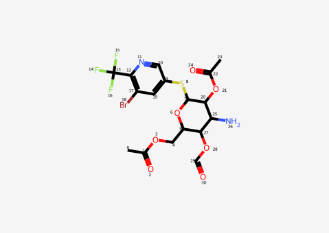 CC(=O)OCC1OC(Sc2cnc(C(F)(F)F)c(Br)c2)C(OC(C)=O)C(N)C1OC=O